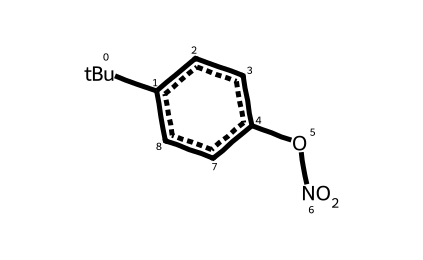 CC(C)(C)c1ccc(O[N+](=O)[O-])cc1